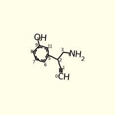 C#CC(CN)c1cccc(O)c1